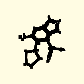 Nc1cc2nonc2c([N+](=O)[O-])c1N1CCCC1